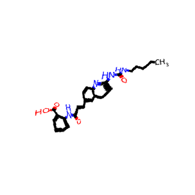 CCCCCNC(=O)Nc1ccc2cc(CCC(=O)Nc3ccccc3C(=O)O)ccc2n1